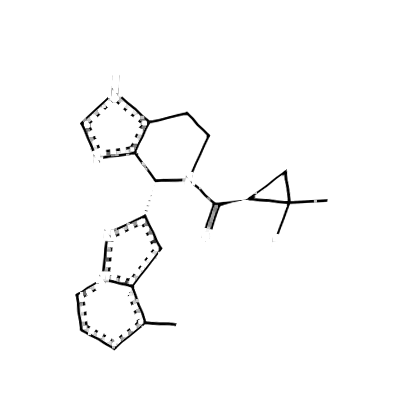 Cc1cccn2nc([C@@H]3c4nc[nH]c4CCN3C(=O)[C@H]3CC3(C)F)cc12